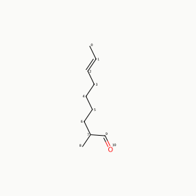 CC=CCCCCC(C)C=O